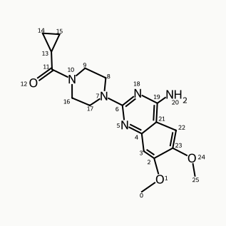 COc1cc2nc(N3CCN(C(=O)C4CC4)CC3)nc(N)c2cc1OC